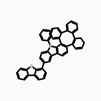 C1=CC2=C(CC1)c1ccccc1-c1ccccc1-c1c2ccc2c3cc(-c4cccc5c4oc4ccccc45)ccc3n(-c3ccccc3)c12